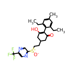 CCc1cc(C)cc(CC)c1C1=C(O)CC(CC[S+]([O-])c2cnc(C(F)(F)F)cn2)CC1=O